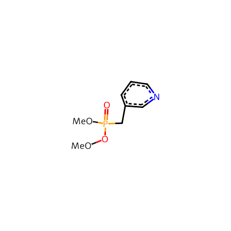 COOP(=O)(Cc1cccnc1)OC